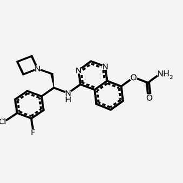 NC(=O)Oc1cccc2c(N[C@H](CN3CCC3)c3ccc(Cl)c(F)c3)ncnc12